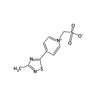 Cc1nsc(-c2cc[n+](CS(=O)(=O)[O-])cc2)n1